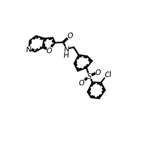 O=C(NCc1ccc(S(=O)(=O)c2ccccc2Cl)cc1)c1cc2ccncc2o1